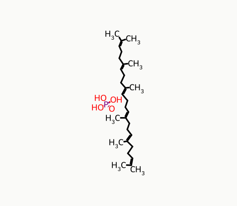 CC(C)=CCC/C(C)=C/CC/C(C)=C/CC/C=C(\C)CC/C=C(\C)CCC=C(C)C.O=P(O)(O)O